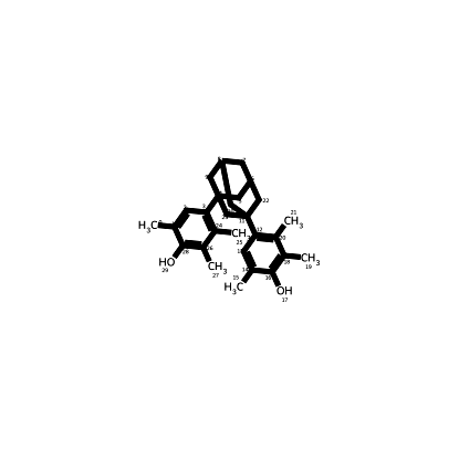 Cc1cc(C23CC4CC(C2)CC(c2cc(C)c(O)c(C)c2C)(C4)C3)c(C)c(C)c1O